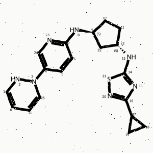 C1=CNN(c2ccc(N[C@H]3CC[C@H](Nc4nc(C5CC5)ns4)C3)nc2)C=C1